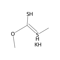 COC(S)=[SH]C.[KH]